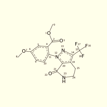 COC(=O)c1cc(OC)ccc1-n1nc(C(F)(F)F)c2c1C(=O)NCC2